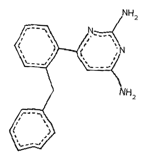 Nc1cc(-c2ccccc2Cc2ccccc2)nc(N)n1